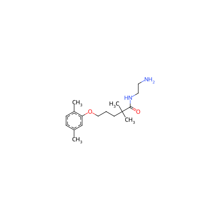 Cc1ccc(C)c(OCCCC(C)(C)C(=O)NCCN)c1